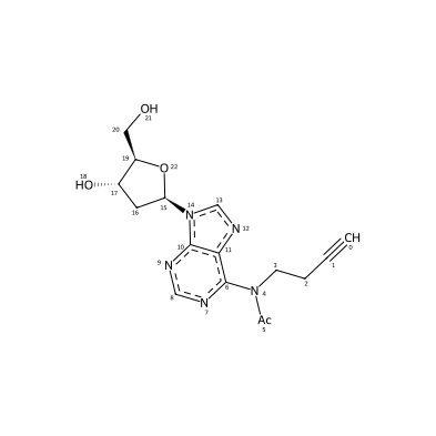 C#CCCN(C(C)=O)c1ncnc2c1ncn2[C@H]1C[C@H](O)[C@@H](CO)O1